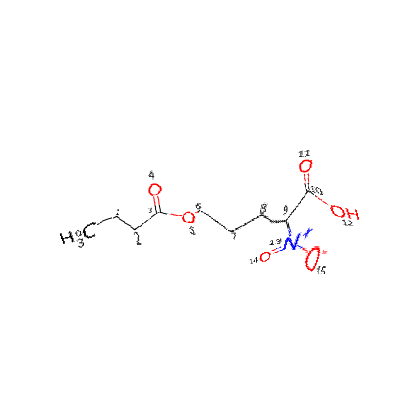 CCCC(=O)OCCCC(C(=O)O)[N+](=O)[O-]